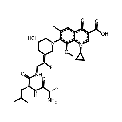 COc1c(N2CCCC(=C(F)CNC(=O)[C@H](CC(C)C)NC(=O)[C@H](C)N)C2)c(F)cc2c(=O)c(C(=O)O)cn(C3CC3)c12.Cl